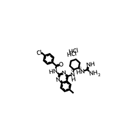 Cc1ccc2nc(NC(=O)c3ccc(Cl)cc3)nc(N[C@H]3CCCC[C@H]3NC(=N)N)c2c1.Cl.Cl